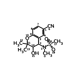 CN(C1c2cc(C#N)ccc2OC(C)(C)C1O)S(C)(=O)=O